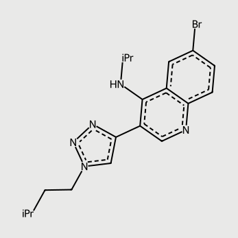 CC(C)CCn1cc(-c2cnc3ccc(Br)cc3c2NC(C)C)nn1